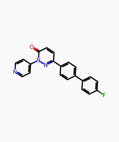 O=c1ccc(-c2ccc(-c3ccc(F)cc3)cc2)nn1-c1ccncc1